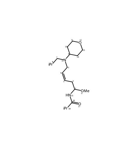 COC(C/C=C\CN(CC(C)C)C1CCOCC1)NC(=O)C(C)C